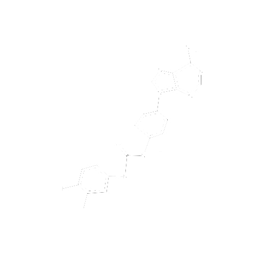 Cl.Nc1ncnc2c1ncn2-c1ccc(NC(=O)Nc2ccc(Cl)c(C(F)(F)F)c2)cc1